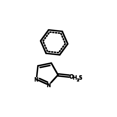 O=C1C=CN=N1.S.c1ccccc1